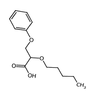 CCCCCOC(COc1ccccc1)C(=O)O